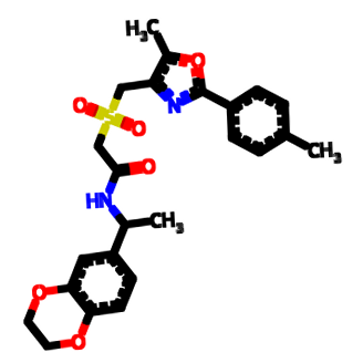 Cc1ccc(-c2nc(CS(=O)(=O)CC(=O)NC(C)c3ccc4c(c3)OCCO4)c(C)o2)cc1